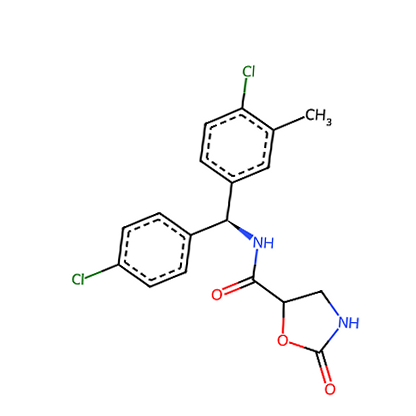 Cc1cc([C@@H](NC(=O)C2CNC(=O)O2)c2ccc(Cl)cc2)ccc1Cl